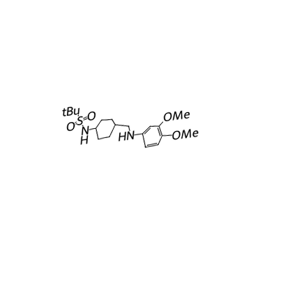 COc1ccc(NCC2CCC(NS(=O)(=O)C(C)(C)C)CC2)cc1OC